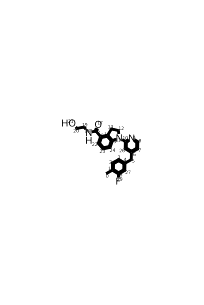 Cc1ccc(Cc2ccnc(N3CCc4c(C(=O)NCCO)cccc43)c2)cc1F